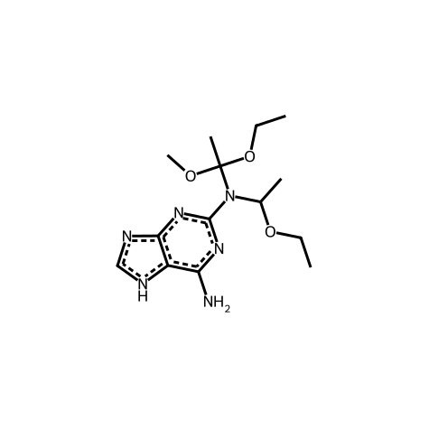 CCOC(C)N(c1nc(N)c2[nH]cnc2n1)C(C)(OC)OCC